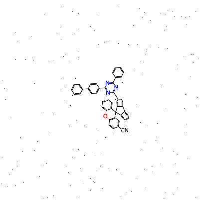 N#Cc1ccc2c(c1)C1(c3ccccc3O2)c2ccccc2-c2ccc(-c3nc(-c4ccccc4)nc(-c4ccc(-c5ccccc5)cc4)n3)cc21